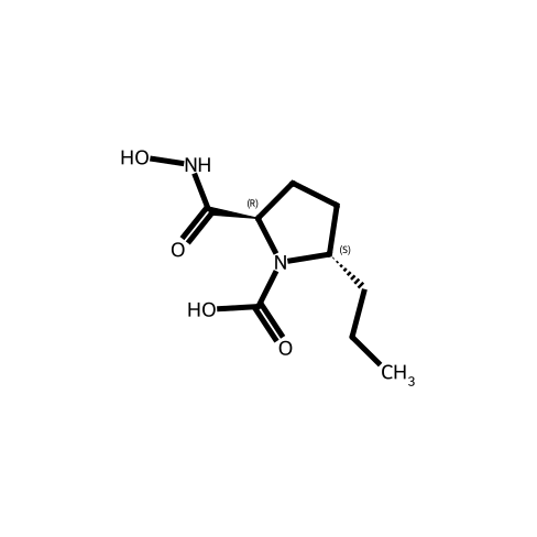 CCC[C@H]1CC[C@H](C(=O)NO)N1C(=O)O